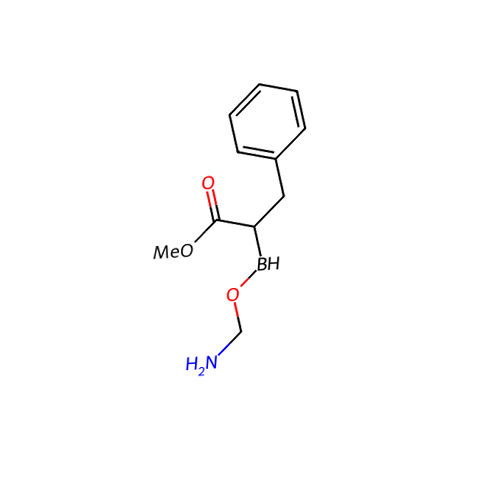 COC(=O)C(BOCN)Cc1ccccc1